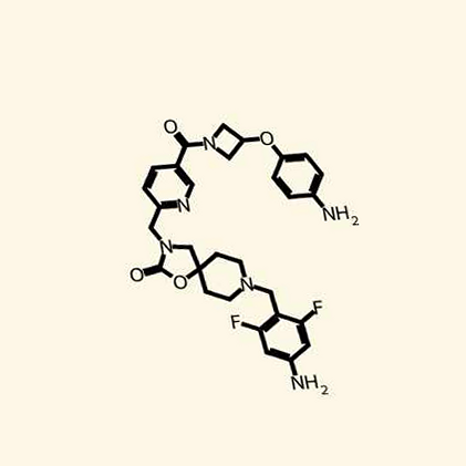 Nc1ccc(OC2CN(C(=O)c3ccc(CN4CC5(CCN(Cc6c(F)cc(N)cc6F)CC5)OC4=O)nc3)C2)cc1